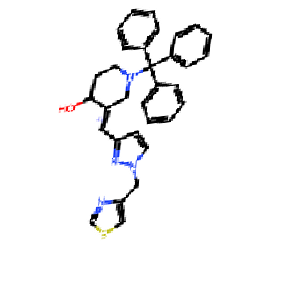 OC1CCN(C(c2ccccc2)(c2ccccc2)c2ccccc2)C/C1=C\c1ccn(Cc2cscn2)n1